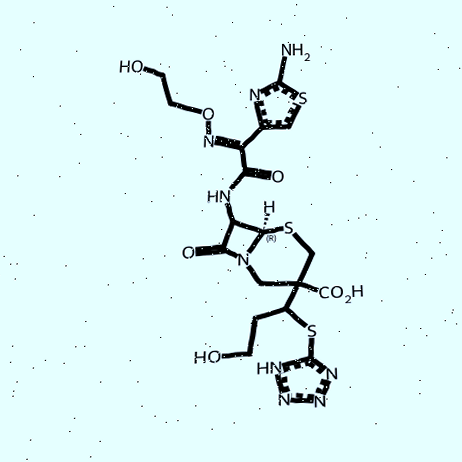 Nc1nc(C(=NOCCO)C(=O)NC2C(=O)N3CC(C(=O)O)(C(CCO)Sc4nnn[nH]4)CS[C@H]23)cs1